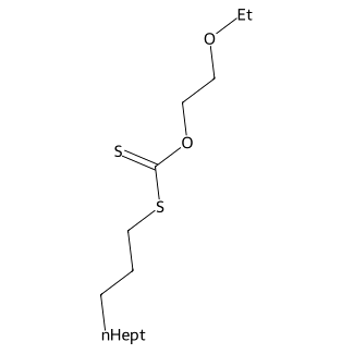 CCCCCCCCCCSC(=S)OCCOCC